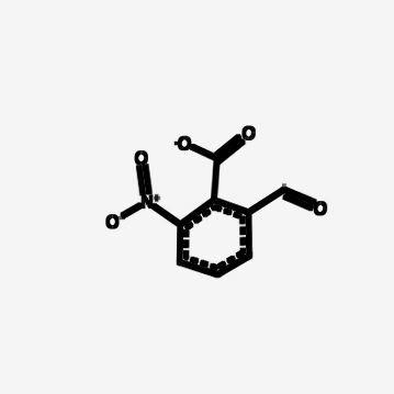 [O]C(=O)c1c([C]=O)cccc1[N+](=O)[O-]